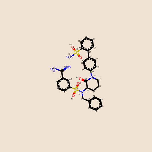 N=C(N)c1cccc(S(=O)(=O)N(Cc2ccccc2)C2CCCN(c3ccc(-c4ccccc4S(N)(=O)=O)cc3)C2=O)c1